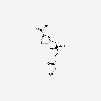 BOC(=O)CCCP(=O)(O)Cc1cccc([N+](=O)[O-])c1